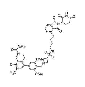 CNC(=O)N1CCc2c(-c3cc(OC)c(CN4CC(S(=O)(=O)NCCCOc5cccc6c5C(=O)N(C5CCC(=O)NC5=O)C6=O)C4)c(OC)c3)cn(C)c(=O)c2C1